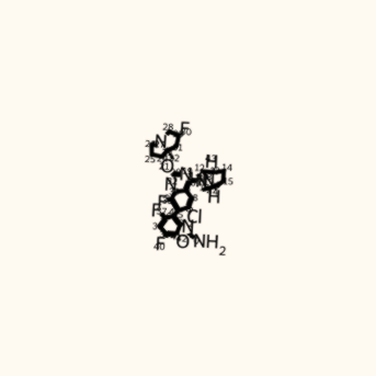 Nc1nc2c(-c3c(Cl)cc4c(N5C[C@H]6CC[C@@H](C5)N6)nc(OC[C@@]56CCCN5C[C@H](F)C6)nc4c3F)c(F)cc(F)c2o1